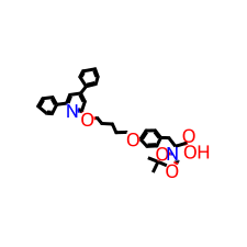 CC(C)(C)ON(C=O)C(Cc1ccc(OCCCCCOc2cc(-c3ccccc3)cc(-c3ccccc3)n2)cc1)C(=O)O